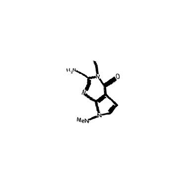 CNn1ccc2c(=O)n(C)c(N)nc21